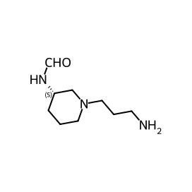 NCCCN1CCC[C@H](NC=O)C1